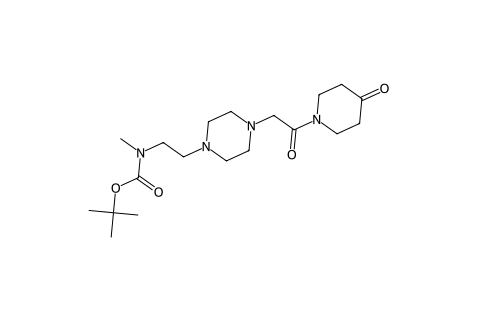 CN(CCN1CCN(CC(=O)N2CCC(=O)CC2)CC1)C(=O)OC(C)(C)C